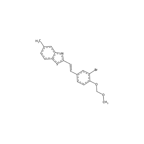 COCOc1ccc(C=Cc2nc3cc(C)ccc3s2)cc1Br